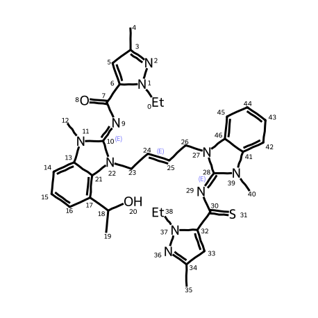 CCn1nc(C)cc1C(=O)/N=c1\n(C)c2cccc(C(C)O)c2n1C/C=C/Cn1/c(=N/C(=S)c2cc(C)nn2CC)n(C)c2ccccc21